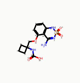 NC1=NS(=O)(=O)Nc2cccc(OCC3(NC(=O)O)CCC3)c21